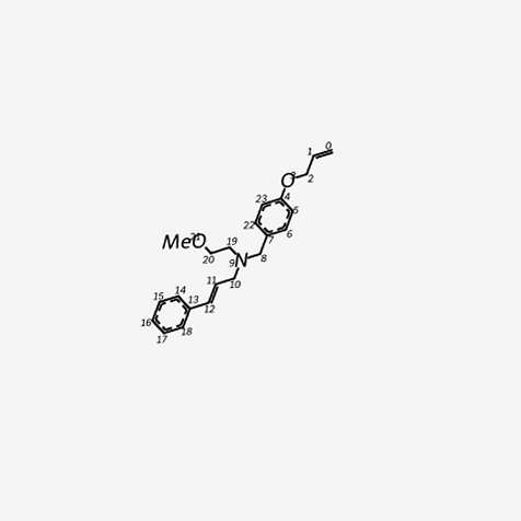 C=CCOc1ccc(CN(CC=Cc2ccccc2)CCOC)cc1